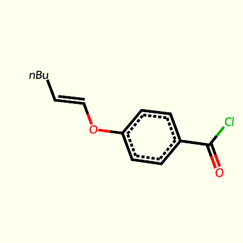 CCCCC=COc1ccc(C(=O)Cl)cc1